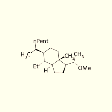 CCCCCC(C)[C@H]1CC[C@]2(C)[C@@H]([C@H](C)OC)CC[C@H]2[C@@H]1CC